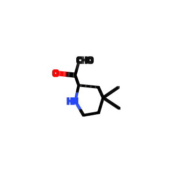 CC1(C)CCNC(C(=O)C=O)C1